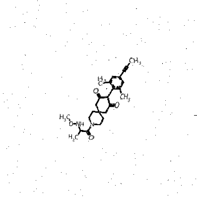 CC#Cc1cc(C)c(C2C(=O)CC3(CCN(C(=O)C(C)NOC)CC3)CC2=O)c(C)c1